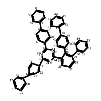 c1ccc(-c2ccc(-c3nc(-c4ccc(-c5ccccc5)cc4)nc(-c4cccc(-c5ccccc5)c4-c4ccc(-c5ccccc5)cc4)n3)cc2)cc1